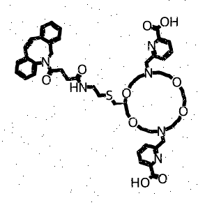 O=C(CCC(=O)N1Cc2ccccc2/C=C\c2ccccc21)NCCSC[C@@H]1COCCN(Cc2cccc(C(=O)O)n2)CCOCCOCCN(Cc2cccc(C(=O)O)n2)CCO1